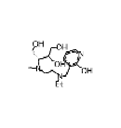 CCN(CCN(C)[C@H](CO)[C@H](O)CO)Cc1cccnc1O